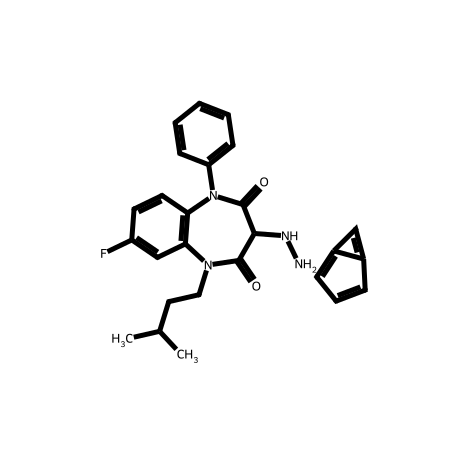 CC(C)CCN1C(=O)C(NN)C(=O)N(c2ccccc2)c2ccc(F)cc21.c1cc2cc-2c1